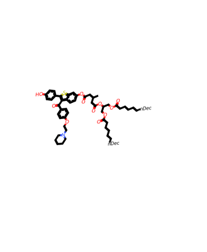 CCCCCCCCCCCCCCCC(=O)OCC(COC(=O)CCCCCCCCCCCCCCC)OC(=O)CC(C)CC(=O)Oc1ccc2c(C(=O)c3ccc(OCCN4CCCCC4)cc3)c(-c3ccc(O)cc3)sc2c1